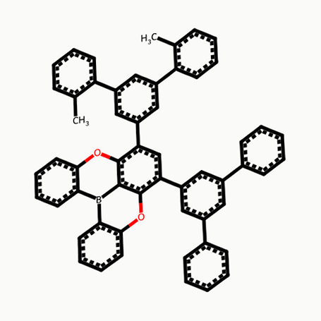 Cc1ccccc1-c1cc(-c2ccccc2C)cc(-c2cc(-c3cc(-c4ccccc4)cc(-c4ccccc4)c3)c3c4c2Oc2ccccc2B4c2ccccc2O3)c1